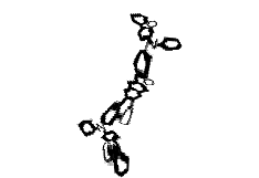 c1ccc(N(c2ccc3c(c2)oc2ccccc23)c2ccc3c(c2)oc2cc4cc5oc6cc(N(c7ccccc7)c7ccc8c(c7)oc7ccccc78)ccc6c5cc4cc23)cc1